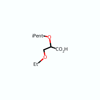 CCCC(C)OC(COCC)C(=O)O